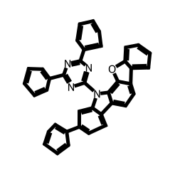 c1ccc(-c2ccc3c4ccc5c6ccccc6oc5c4n(-c4nc(-c5ccccc5)nc(-c5ccccc5)n4)c3c2)cc1